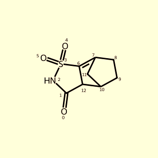 O=C1NS(=O)(=O)C2=C3CCC(C3)C12